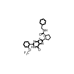 O=C(NCc1ccccc1)[C@H]1CCCN1c1nc2c(=O)[nH]c(-c3ccccc3OC(F)(F)F)nc2s1